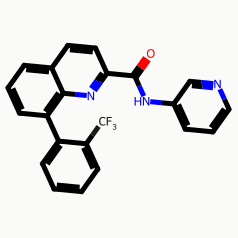 O=C(Nc1cccnc1)c1ccc2cccc(-c3ccccc3C(F)(F)F)c2n1